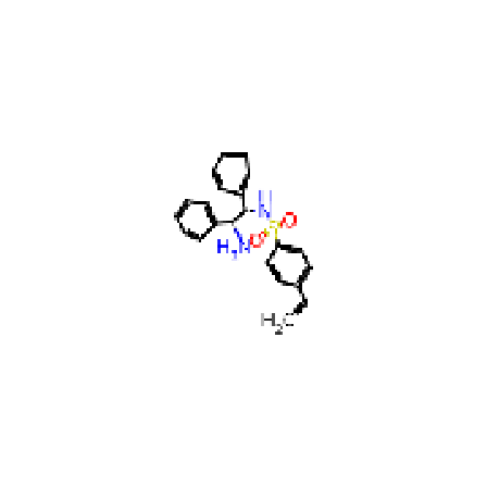 C=Cc1ccc(S(=O)(=O)N[C@@H](c2ccccc2)[C@@H](N)c2ccccc2)cc1